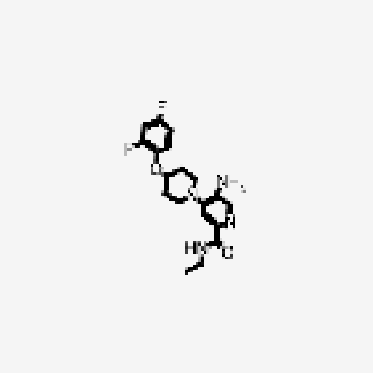 CCNC(=O)c1cc(N2CCC(Oc3ccc(F)cc3F)CC2)c(N)cn1